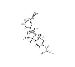 CN(C(F)(c1ccc(OC(F)F)cc1)C(F)F)S(=O)(=O)c1cncc(C#N)c1